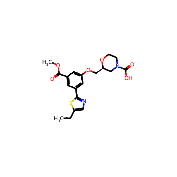 CCc1cnc(-c2cc(OC[C@@H]3CN(C(=O)O)CCO3)cc(C(=O)OC)c2)s1